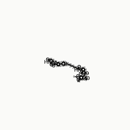 CCOc1cc([C@@H](CS(C)(=O)=O)N2C(=O)c3cccc(NC(=O)CCCCCCCCN4CCC(c5ccc6c(c5)CN(C5CCC(=O)NC5=O)C6=O)CC4)c3C2=O)ccc1OC